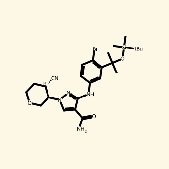 CC(C)(O[Si](C)(C)C(C)(C)C)c1cc(Nc2nn(C3COCC[C@@H]3C#N)cc2C(N)=O)ccc1Br